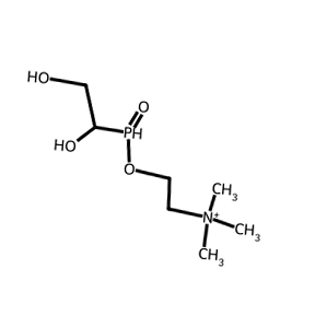 C[N+](C)(C)CCO[PH](=O)C(O)CO